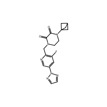 O=C1C(=O)N(C23CC(C2)C3)CCN1Cc1ncc(-n2nccn2)cc1F